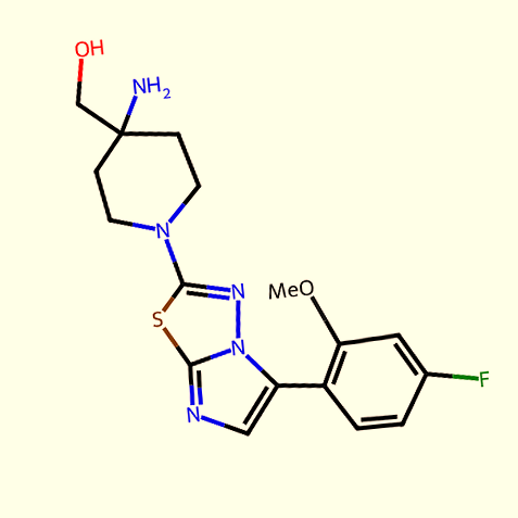 COc1cc(F)ccc1-c1cnc2sc(N3CCC(N)(CO)CC3)nn12